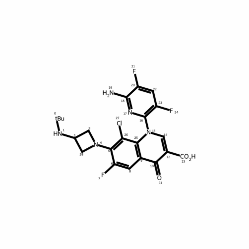 CC(C)(C)NC1CN(c2c(F)cc3c(=O)c(C(=O)O)cn(-c4nc(N)c(F)cc4F)c3c2Cl)C1